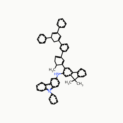 CC1CC=C(c2cccc(C3=CC(c4ccccc4)=CC(c4ccccc4)C3)c2)C=C1c1cc2c(cc1Nc1ccc3c(c1)c1ccccc1n3-c1ccccc1)C(C)(C)c1ccccc1-2